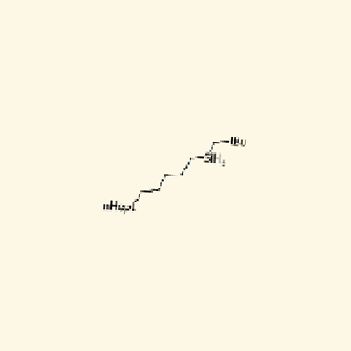 CCCCCCCCCCCC[SiH2]CC(C)(C)C